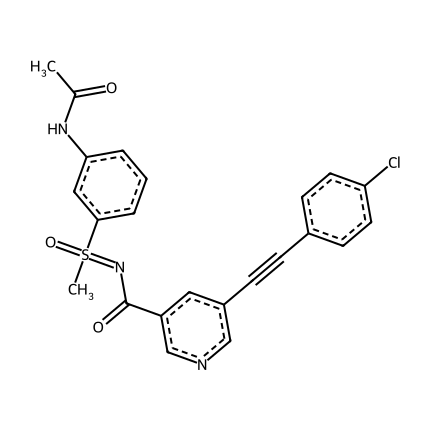 CC(=O)Nc1cccc(S(C)(=O)=NC(=O)c2cncc(C#Cc3ccc(Cl)cc3)c2)c1